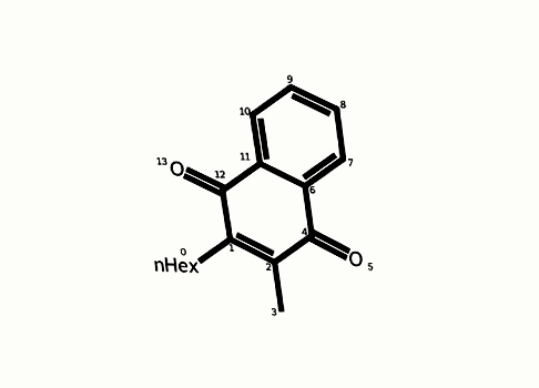 [CH2]CCCCCC1=C(C)C(=O)c2ccccc2C1=O